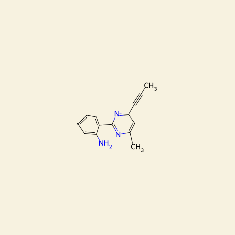 CC#Cc1cc(C)nc(-c2ccccc2N)n1